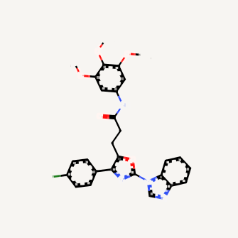 COc1cc(NC(=O)CCc2oc(-n3cnc4ccccc43)nc2-c2ccc(Cl)cc2)cc(OC)c1OC